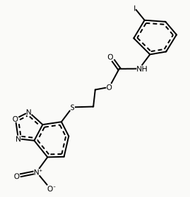 O=C(Nc1cccc(I)c1)OCCSc1ccc([N+](=O)[O-])c2nonc12